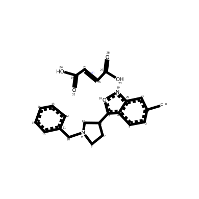 Fc1ccc2c(C3CCN(Cc4ccccc4)C3)onc2c1.O=C(O)/C=C/C(=O)O